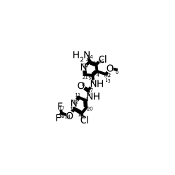 CO[C@H](C)c1c(NC(=O)Nc2cnc(OC(F)F)c(Cl)c2)cnc(N)c1Cl